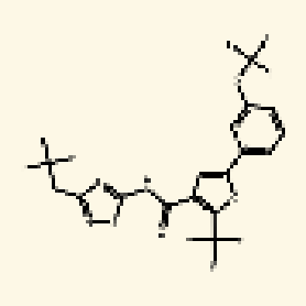 CC(F)(F)Cc1nsc(NC(=O)c2cc(-c3cccc(OC(F)(F)F)c3)oc2C(F)(F)F)n1